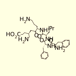 CC(C)C[C@@H](NC(=O)[C@@H](Cc1ccccc1)NC(=O)[C@H](N)Cc1ccccc1)C(=O)N[C@H](CCCN)C(=O)C[C@@H](CN)CCC(=O)O